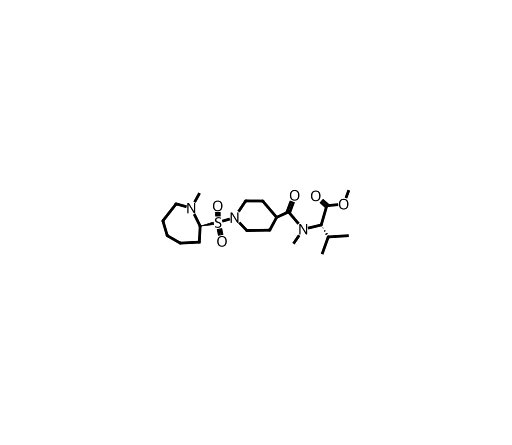 COC(=O)[C@H](C(C)C)N(C)C(=O)C1CCN(S(=O)(=O)[C@H]2CCCCCN2C)CC1